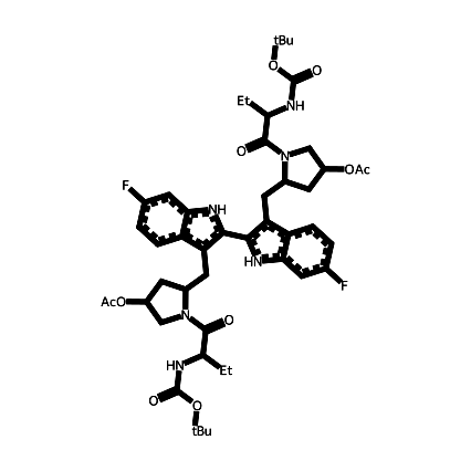 CCC(NC(=O)OC(C)(C)C)C(=O)N1CC(OC(C)=O)CC1Cc1c(-c2[nH]c3cc(F)ccc3c2CC2CC(OC(C)=O)CN2C(=O)C(CC)NC(=O)OC(C)(C)C)[nH]c2cc(F)ccc12